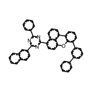 c1ccc(-c2cccc(-c3cccc4c3Oc3ccc(-c5nc(-c6ccccc6)nc(-c6ccc7ccccc7c6)n5)c5cccc-4c35)c2)cc1